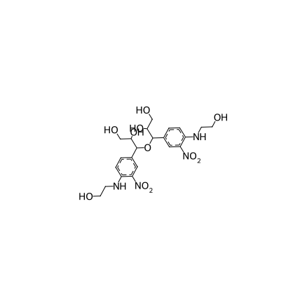 O=[N+]([O-])c1cc(C(OC(c2ccc(NCCO)c([N+](=O)[O-])c2)C(O)CO)C(O)CO)ccc1NCCO